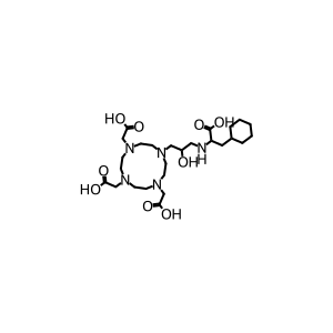 O=C(O)CN1CCN(CC(=O)O)CCN(CC(O)CNC(CC2CCCCC2)C(=O)O)CCN(CC(=O)O)CC1